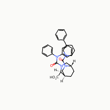 O=C(O)[C@@H]1[C@@H]2CC[C@@H](CN1C(=O)N(c1ccccc1)c1ccccc1)N(C(=O)N1CCCC(c3ccccc3)C1)C2